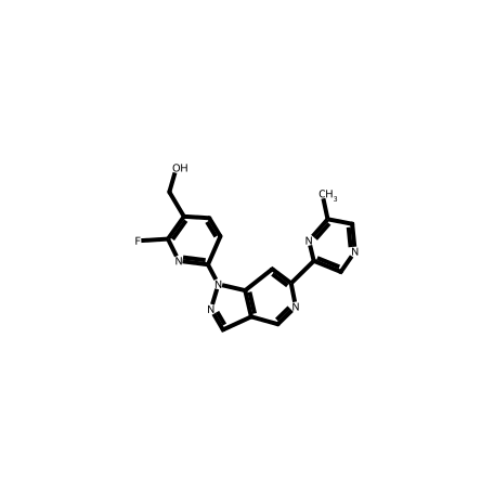 Cc1cncc(-c2cc3c(cn2)cnn3-c2ccc(CO)c(F)n2)n1